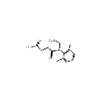 CCCC(=O)SCC(=O)N(CC(=O)O)c1c(C)cccc1C